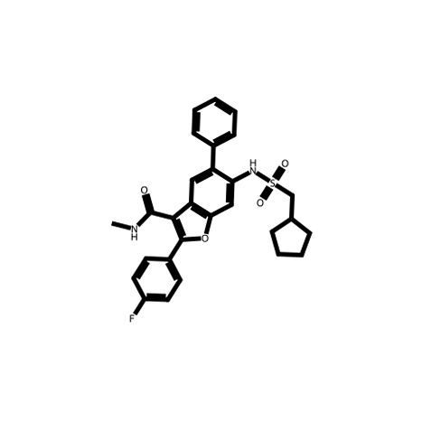 CNC(=O)c1c(-c2ccc(F)cc2)oc2cc(NS(=O)(=O)CC3CCCC3)c(-c3ccccc3)cc12